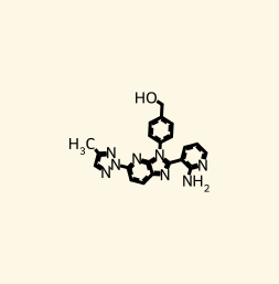 Cc1cnn(-c2ccc3nc(-c4cccnc4N)n(-c4ccc(CO)cc4)c3n2)n1